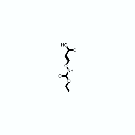 CCOC(=O)NOC=CC(=O)O